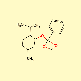 CC1CCC(C(C)C)C(OC2(c3ccccc3)OCO2)C1